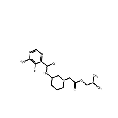 CC(C)COC(=O)CN1CCCC(NC(O)c2ncnc(N)c2Cl)C1